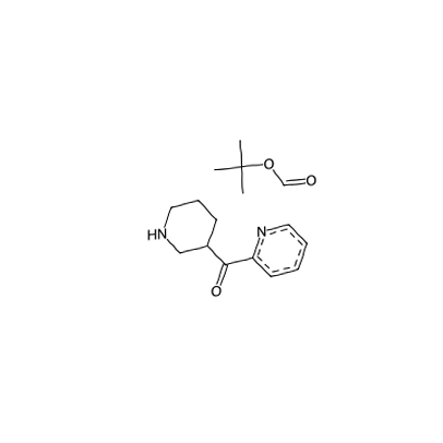 CC(C)(C)OC=O.O=C(c1ccccn1)C1CCCNC1